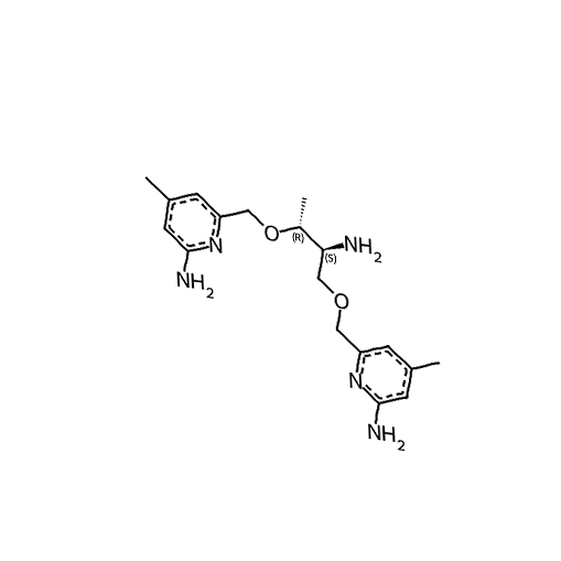 Cc1cc(N)nc(COC[C@H](N)[C@@H](C)OCc2cc(C)cc(N)n2)c1